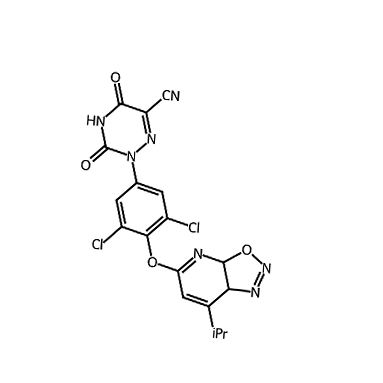 CC(C)C1=CC(Oc2c(Cl)cc(-n3nc(C#N)c(=O)[nH]c3=O)cc2Cl)=NC2ON=NC12